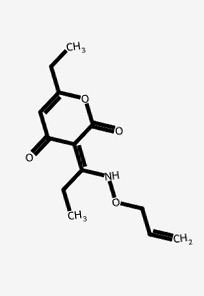 C=CCONC(CC)=C1C(=O)C=C(CC)OC1=O